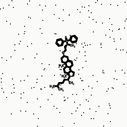 CC(C)CCC[C@@H](C)[C@H]1CCC2C3CC=C4C[C@@H](OCCN(C)P(=S)(c5ccccc5)c5ccccc5)CC[C@]4(C)C3CC[C@@]21C